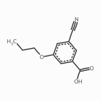 CCCOc1cc(C#N)cc(C(=O)O)c1